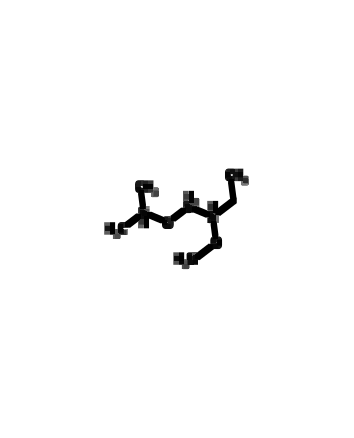 CC[SiH](O[SiH3])[SiH2]O[SiH](C)C